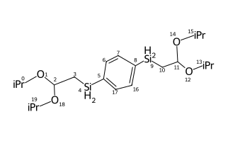 CC(C)OC(C[SiH2]c1ccc([SiH2]CC(OC(C)C)OC(C)C)cc1)OC(C)C